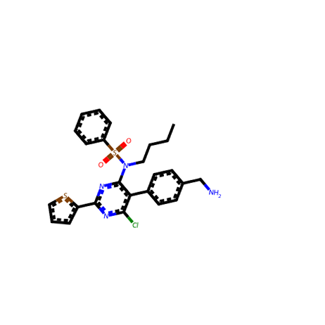 CCCCN(c1nc(-c2cccs2)nc(Cl)c1-c1ccc(CN)cc1)S(=O)(=O)c1ccccc1